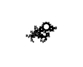 CO[C@@H](C1=CC2(C1)CN(C(=O)OC(C)(C)C)C2)[C@@H]1CC[C@H]1CN1Cc2ccc(Cl)cc2CCCCOc2ccc(C(=O)OC(C)(C)C)cc21